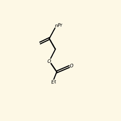 C=C(CCC)COC(=O)CC